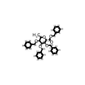 CC1O[C@H](C(=O)OCc2ccccc2)[C@@H](OCc2ccccc2)[C@H](OCc2ccccc2)[C@H]1OCc1ccccc1